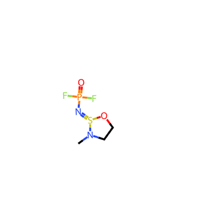 CN1CCOS1=NP(=O)(F)F